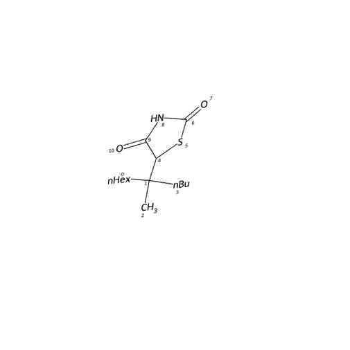 CCCCCCC(C)(CCCC)C1SC(=O)NC1=O